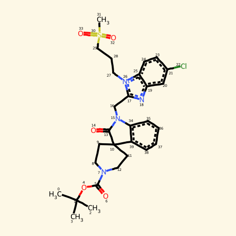 CC(C)(C)OC(=O)N1CCC2(CC1)C(=O)N(Cc1nc3cc(Cl)ccc3n1CCCS(C)(=O)=O)c1ccccc12